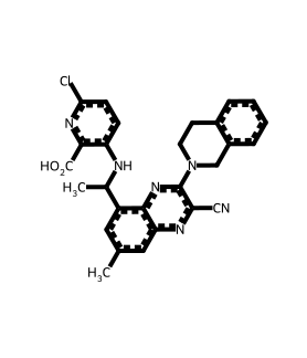 Cc1cc(C(C)Nc2ccc(Cl)nc2C(=O)O)c2nc(N3CCc4ccccc4C3)c(C#N)nc2c1